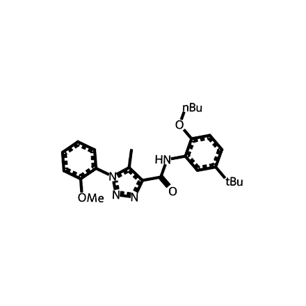 CCCCOc1ccc(C(C)(C)C)cc1NC(=O)c1nnn(-c2ccccc2OC)c1C